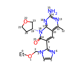 CCOCn1ccnc1-c1cc2c(C)nc(N)nc2n([C@@H]2CCOC2)c1=O